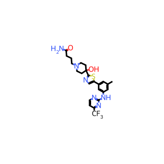 Cc1cc(Nc2nccc(C(F)(F)F)n2)cc(-c2cnc(C3(O)CCN(CCCC(N)=O)CC3)s2)c1